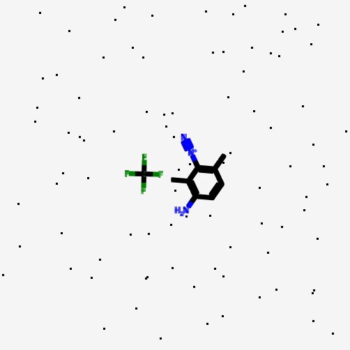 Cc1ccc(N)c(C)c1[N+]#N.F[B-](F)(F)F